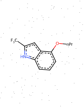 CCCOc1cccc2[nH]c(C(F)(F)F)cc12